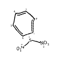 O=[N+]([O-])S[N+](=O)[O-].c1ccccc1